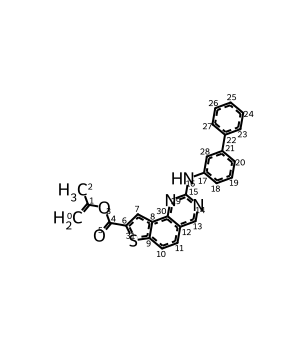 C=C(C)OC(=O)c1cc2c(ccc3cnc(Nc4cccc(-c5ccccc5)c4)nc32)s1